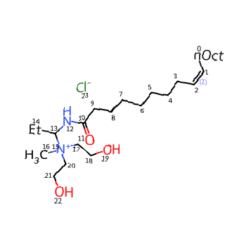 CCCCCCCC/C=C\CCCCCCCC(=O)NC(CC)[N+](C)(CCO)CCO.[Cl-]